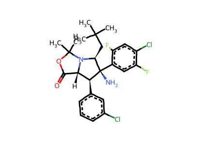 CC(C)(C)C[C@@H]1N2[C@@H](C(=O)OC2(C)C)[C@H](c2cccc(Cl)c2)[C@@]1(N)c1cc(F)c(Cl)cc1F